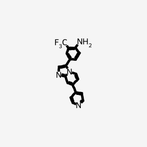 Nc1ccc(-c2cnc3cc(-c4ccncc4)ccn23)cc1C(F)(F)F